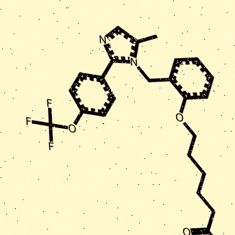 Cc1cnc(-c2ccc(OC(F)(F)F)cc2)n1Cc1ccccc1OCCCCCC(=O)O